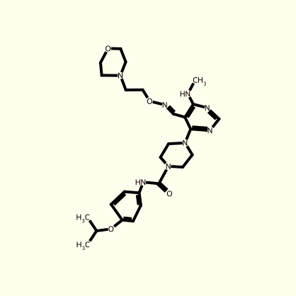 CNc1ncnc(N2CCN(C(=O)Nc3ccc(OC(C)C)cc3)CC2)c1/C=N/OCCN1CCOCC1